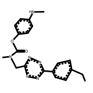 CCc1ccc(-c2nnc(CN(C)C(=O)Oc3ccc(NC)cc3)nn2)cc1